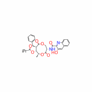 CC(C)C(=O)O[C@H]1[C@H](C)OC(=O)[C@@H](NC(=O)c2nc3ccccc3cc2O)COC(=O)[C@@H]1Cc1ccccc1